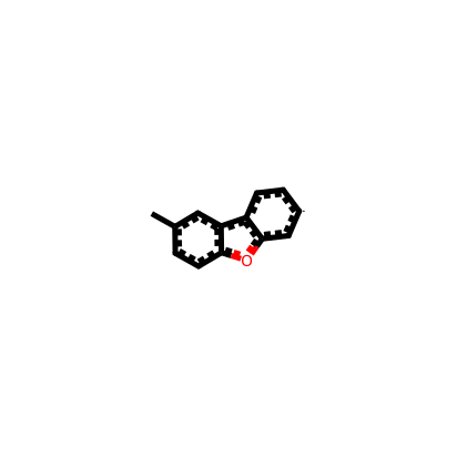 Cc1ccc2oc3c[c]ccc3c2c1